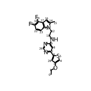 CCOc1csc(-c2cc(NCCn3c(C)cc4c(F)c(F)ccc43)ncn2)c1